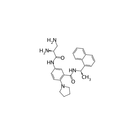 C[C@@H](NC(=O)c1cc(NC(=O)[C@@H](N)CN)ccc1N1CCCC1)c1cccc2ccccc12